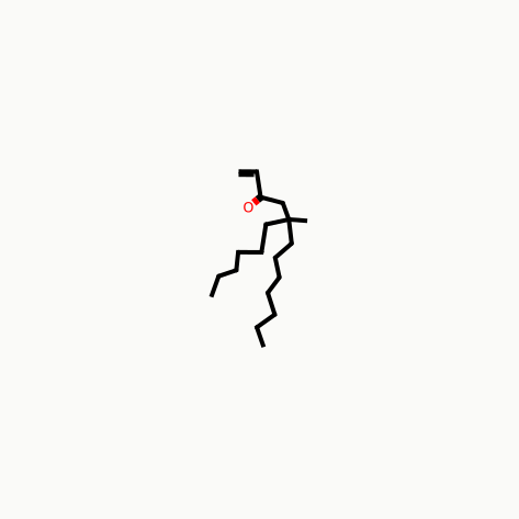 C=CC(=O)CC(C)(CCCCCC)CCCCCCC